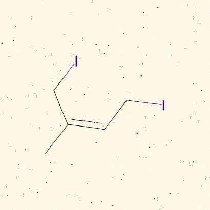 CC(=CCI)CI